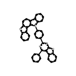 c1ccc(-c2nc(-c3ccc(-n4c5ccccc5c5ccc6sc7ccccc7c6c54)cc3)nc3oc4ccccc4c23)cc1